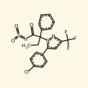 CCC(C(=O)N=S(=O)=O)(c1ccccc1)n1nc(C(F)(F)F)cc1-c1ccc(Cl)cc1